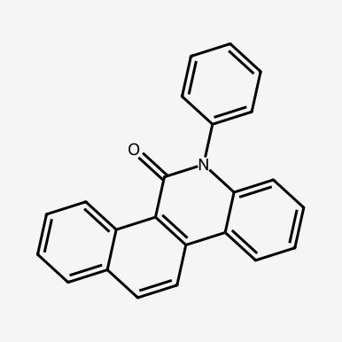 O=c1c2c3ccccc3ccc2c2ccccc2n1-c1ccccc1